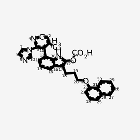 Cc1ccnc(-n2ccnc2)c1-c1cccc2c(CCCOc3cccc4ccccc34)c(OC(=O)O)[nH]c12